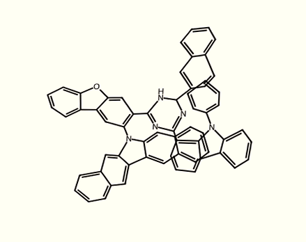 c1ccc(-n2c3ccccc3c3cccc(C4=NC(c5ccc6ccccc6c5)NC(c5cc6oc7ccccc7c6cc5-n5c6cc7ccccc7cc6c6cc7ccccc7cc65)=N4)c32)cc1